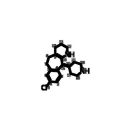 Clc1ccc2c(c1)CCC1=C(NCCC1)C2=C1CCNCC1